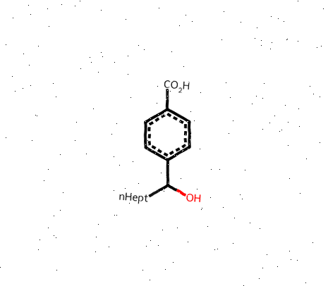 CCCCCCCC(O)c1ccc(C(=O)O)cc1